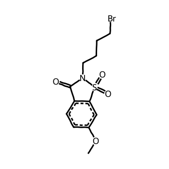 COc1ccc2c(c1)S(=O)(=O)N(CCCCBr)C2=O